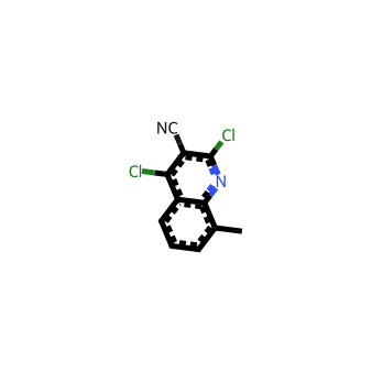 Cc1cccc2c(Cl)c(C#N)c(Cl)nc12